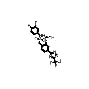 CCOP(=O)(Cc1ccc(-c2noc(C(F)(F)Cl)n2)cc1F)Nc1ccc(F)c(F)c1